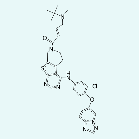 CN(C/C=C/C(=O)N1CCc2c(sc3ncnc(Nc4ccc(Oc5ccc6ncnn6c5)c(Cl)c4)c23)C1)C(C)(C)C